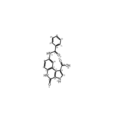 O=C(Nc1ccc2[nH]c(=O)c3[nH]cc(C(=O)O)c3c2c1)c1ccccc1